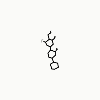 FCC1C(F)CC(C2CCC(C3CCCCC3)CC2F)CC1F